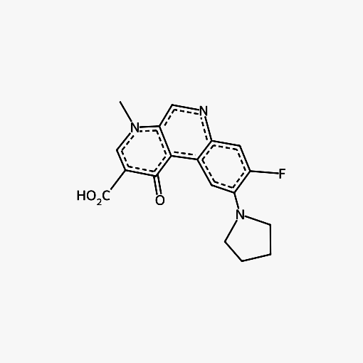 Cn1cc(C(=O)O)c(=O)c2c3cc(N4CCCC4)c(F)cc3ncc21